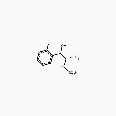 C[C@H](NS(=O)(=O)O)[C@@H](O)c1ccccc1I